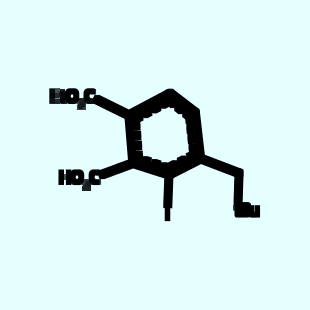 CCOC(=O)c1ccc(CC(C)(C)C)c(I)c1C(=O)O